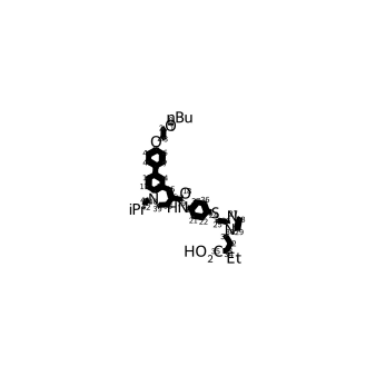 CCCCOCCOc1ccc(-c2ccc3c(c2)C=C(C(=O)Nc2ccc(SCc4nccn4CCC(CC)C(=O)O)cc2)CCN3CC(C)C)cc1